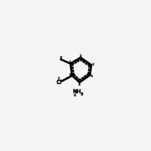 Cc1ccccc1Cl.N